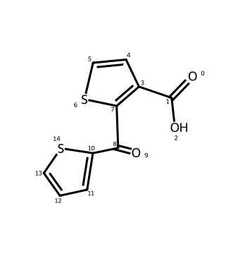 O=C(O)c1ccsc1C(=O)c1cccs1